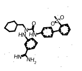 CS(=O)(=O)c1ccccc1-c1ccc(NC(=O)N(CC2CCCCC2)Nc2cccc(C(=N)N)c2)cc1